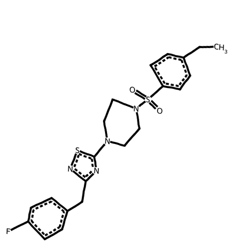 CCc1ccc(S(=O)(=O)N2CCN(c3nc(Cc4ccc(F)cc4)ns3)CC2)cc1